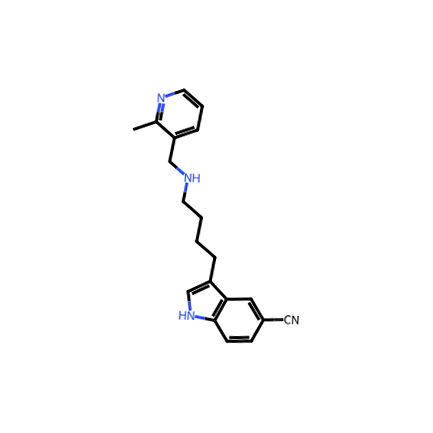 Cc1ncccc1CNCCCCc1c[nH]c2ccc(C#N)cc12